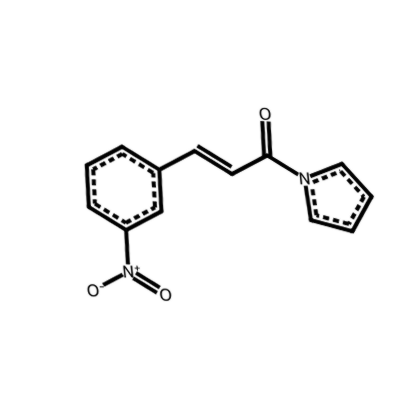 O=C(/C=C/c1cccc([N+](=O)[O-])c1)n1cccc1